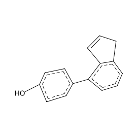 Oc1ccc(-c2cccc3c2C=CC3)cc1